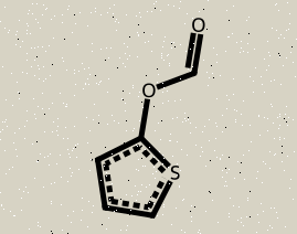 O=COc1[c]ccs1